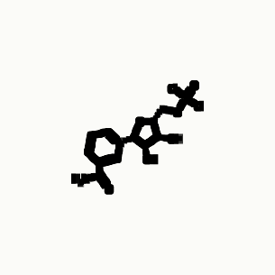 NC(=O)c1ccc[n+]([C@@H]2O[C@H](COP(=O)(Cl)Cl)[C@@H](O)[C@H]2O)c1